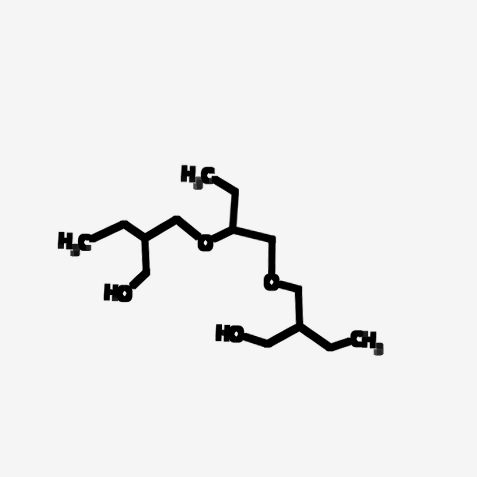 CCC(CO)COCC(CC)OCC(CC)CO